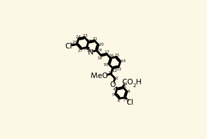 COC(COc1ccc(Cl)cc1C(=O)O)c1cccc(/C=C/c2ccc3ccc(Cl)cc3n2)c1